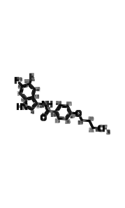 O=C(Nc1c[nH]c2cc(F)c(F)cc12)c1ccc(OCCCC(F)(F)F)cc1